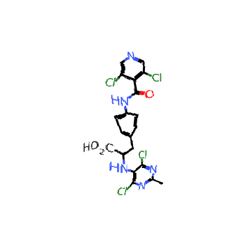 Cc1nc(Cl)c(NC(Cc2ccc(NC(=O)c3c(Cl)cncc3Cl)cc2)C(=O)O)c(Cl)n1